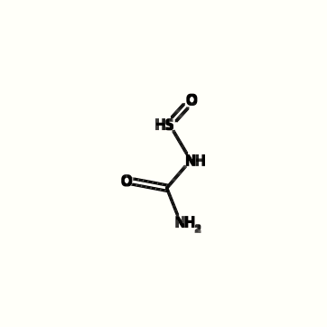 NC(=O)N[SH]=O